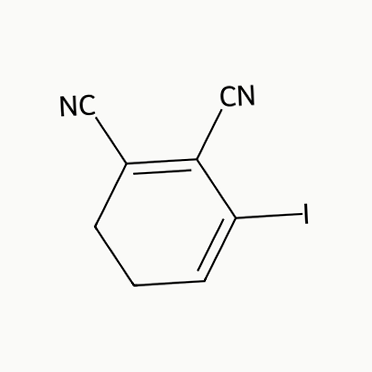 N#CC1=C(C#N)C(I)=CCC1